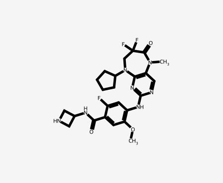 COc1cc(C(=O)NC2CNC2)c(F)cc1Nc1ncc2c(n1)N(C1CCCC1)CC(F)(F)C(=O)N2C